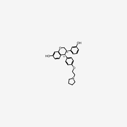 Oc1cccc([C@@H]2COc3cc(O)ccc3[C@@H]2c2ccc(OCCN3CCCC3)cc2)c1